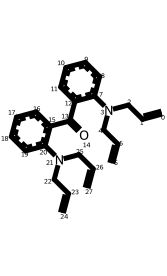 C=CCN(CC=C)c1ccccc1C(=O)c1ccccc1N(CC=C)CC=C